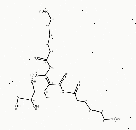 CCCCCCCCCCCCCCCC(=O)OC(=O)/C(=C(\OC(=O)CCCCCCCCCCCCCCC)C(=O)O)C(C)C(O)C(O)CO